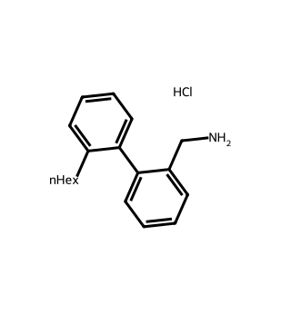 CCCCCCc1ccccc1-c1ccccc1CN.Cl